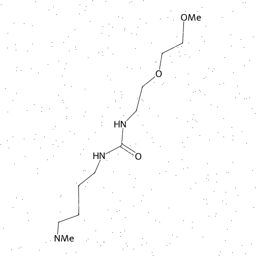 CNCCCCNC(=O)NCCOCCOC